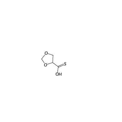 OC(=S)C1COCO1